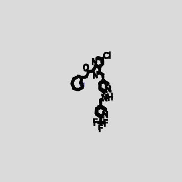 O=C(CC1/C=C/CCCCC1)C1N=C(Cc2ccc(NCc3ccc(C(F)(F)F)nc3)nc2)c2cc(Cl)cnc21